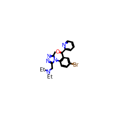 CCN(CC)Cc1nnc(C)n1-c1ccc(Br)cc1C(=O)c1ccccn1